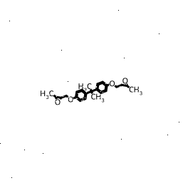 CC1OC1COc1ccc(C(C)(C)c2ccc(OCC3OC3C)cc2)cc1